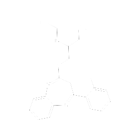 CCNC(CC)CSC1=Nc2ccccc2N=C(c2ccccc2Cl)C1